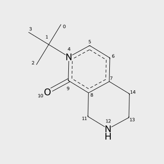 CC(C)(C)n1ccc2c(c1=O)CNCC2